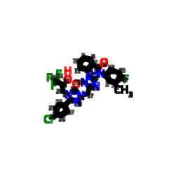 Cc1cc(NC(=O)c2ccccc2-n2cnc(Cn3nc(-c4ccc(Cl)cc4)n(C[C@H](O)C(F)(F)F)c3=O)n2)ccc1F